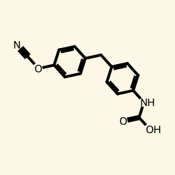 N#COc1ccc(Cc2ccc(NC(=O)O)cc2)cc1